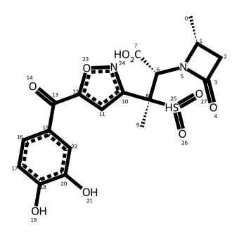 C[C@@H]1CC(=O)N1[C@@H](C(=O)O)[C@](C)(c1cc(C(=O)c2ccc(O)c(O)c2)on1)[SH](=O)=O